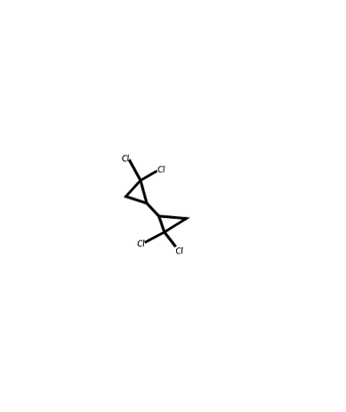 ClC1(Cl)CC1C1CC1(Cl)Cl